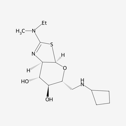 CCN(C)C1=N[C@@H]2[C@@H](O)[C@H](O)[C@@H](CNC3CCC3)O[C@@H]2S1